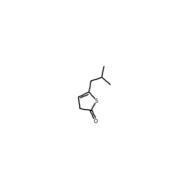 CC(C)CC1=CCC(=O)S1